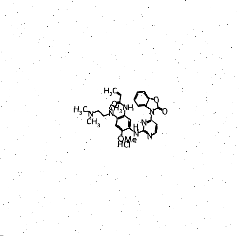 C=CC(=O)Nc1cc(Nc2nccc(-n3c(=O)oc4ccccc43)n2)c(OC)cc1N(C)CCN(C)C.Cl